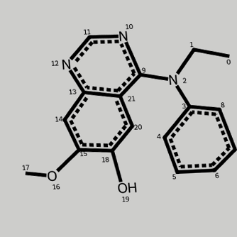 CCN(c1ccccc1)c1ncnc2cc(OC)c(O)cc12